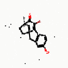 O=C1C(Br)=C2c3ccc(O)cc3C[C@]23CC[C@@H]1C3